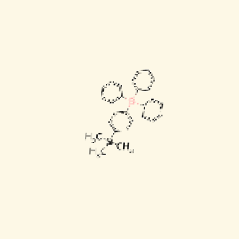 C[Si](C)(C)c1ccc([B-](c2ccccc2)(c2ccccc2)c2ccccc2)cc1